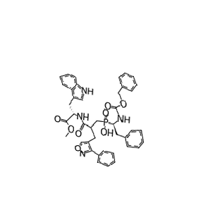 COC(=O)[C@H](Cc1c[nH]c2ccccc12)NC(=O)C(Cc1conc1-c1ccccc1)CP(=O)(O)[C@H](Cc1ccccc1)NC(=O)OCc1ccccc1